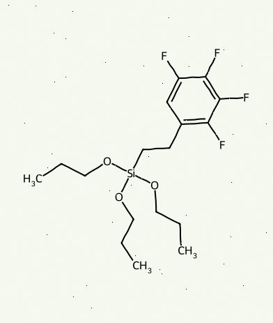 CCCO[Si](CCc1cc(F)c(F)c(F)c1F)(OCCC)OCCC